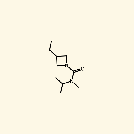 CCC1CN(C(=O)N(C)C(C)C)C1